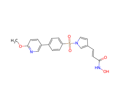 COc1ccc(-c2ccc(S(=O)(=O)n3ccc(C=CC(=O)NO)c3)cc2)cn1